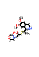 CCOc1cc2c(cc1OCC)C(=C(C#N)SCC(O)CN1CCOCC1)NCC2